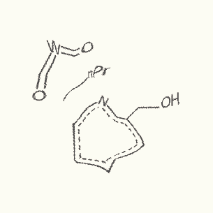 CCCC.Oc1ccccn1.[O]=[W]=[O]